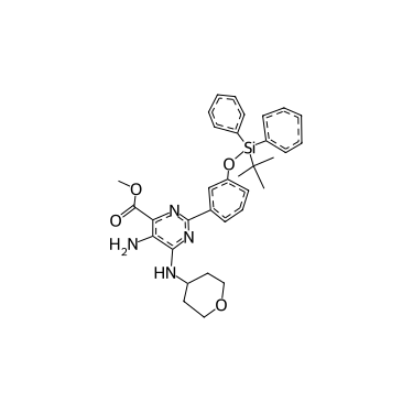 COC(=O)c1nc(-c2cccc(O[Si](c3ccccc3)(c3ccccc3)C(C)(C)C)c2)nc(NC2CCOCC2)c1N